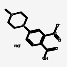 CN1CCN(c2ccc(C(=O)O)c([N+](=O)[O-])c2)CC1.Cl